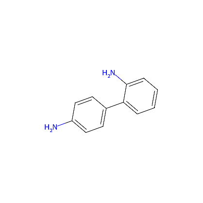 Nc1ccc(-c2ccccc2N)cc1